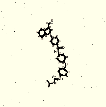 CC(C)NC(=O)Nc1ccc(Oc2ccc(NC(=O)c3ccc(-n4cc(C=O)c5ccccc54)cc3)cc2)cc1